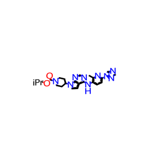 Cc1nc(-n2cncn2)ccc1Nc1ncnc2c1ccn2C1CCN(C(=O)OC(C)C)CC1